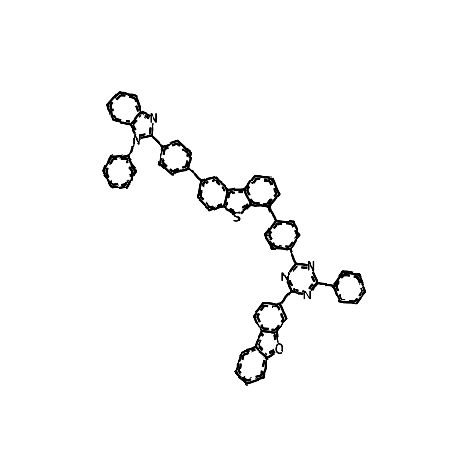 c1ccc(-c2nc(-c3ccc(-c4cccc5c4sc4ccc(-c6ccc(-c7nc8ccccc8n7-c7ccccc7)cc6)cc45)cc3)nc(-c3ccc4c(c3)oc3ccccc34)n2)cc1